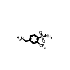 NCc1ccc(S(N)(=O)=O)c(C(F)(F)F)c1